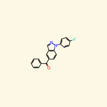 O=C(c1ccccc1)c1ccc2c(cnn2-c2ccc(F)cc2)c1